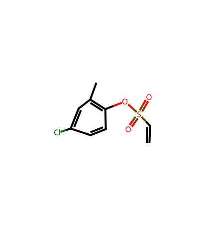 C=CS(=O)(=O)Oc1ccc(Cl)cc1C